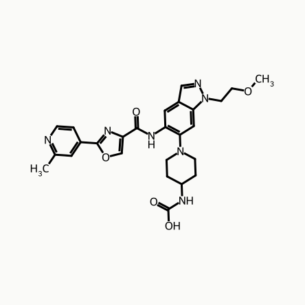 COCCn1ncc2cc(NC(=O)c3coc(-c4ccnc(C)c4)n3)c(N3CCC(NC(=O)O)CC3)cc21